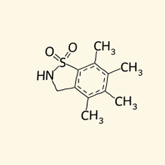 Cc1c(C)c(C)c2c(c1C)CNS2(=O)=O